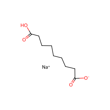 O=C([O-])CCCCCCCC(=O)O.[Na+]